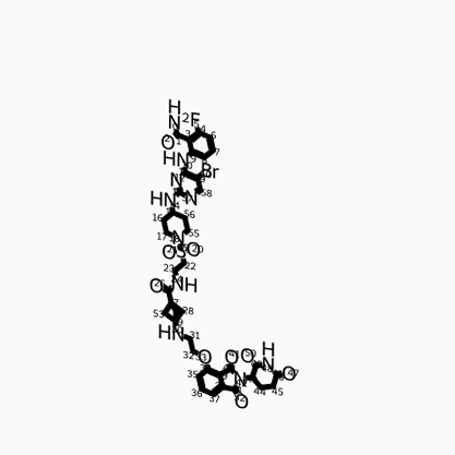 NC(=O)c1c(F)cccc1Nc1nc(NC2CCN(S(=O)(=O)CCNC(=O)C34CC(NCCOc5cccc6c5C(=O)N(C5CCC(=O)NC5=O)C6=O)(C3)C4)CC2)ncc1Br